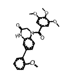 COc1ccccc1-c1ccc2c(c1)NC(=O)CN2C(=O)c1cc(OC)c(OC)c(OC)c1